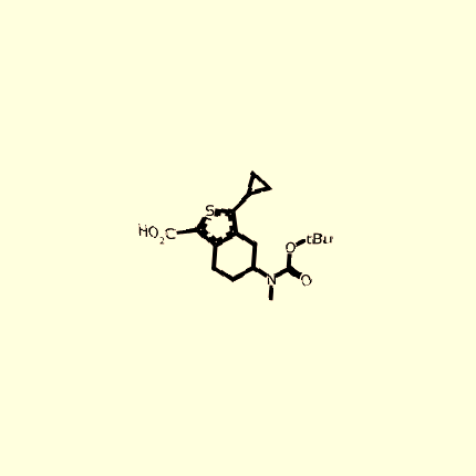 CN(C(=O)OC(C)(C)C)C1CCc2c(C(=O)O)sc(C3CC3)c2C1